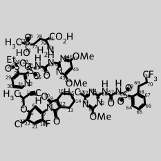 C#CC(C)Oc1cc(N2C(=O)C3=C(CCCC3)C2=O)c(F)cc1Cl.CCS(=O)(=O)c1cccnc1S(=O)(=O)NC(=O)Nc1nc(OC)cc(OC)n1.COc1nc(C)nc(NC(=O)NS(=O)(=O)c2ccccc2CCC(F)(F)F)n1.CP(=O)(O)CCC(N)C(=O)O